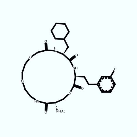 CC(=O)N[C@H]1CSC(=O)[C@H](CCc2cccc(F)c2)NC(=O)[C@H](CC2CCCCC2)NC(=O)COCCOCCNC1=O